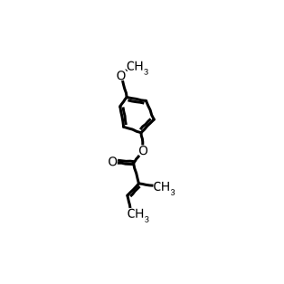 C/C=C(\C)C(=O)Oc1ccc(OC)cc1